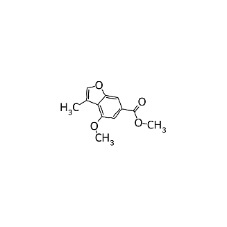 COC(=O)c1cc(OC)c2c(C)coc2c1